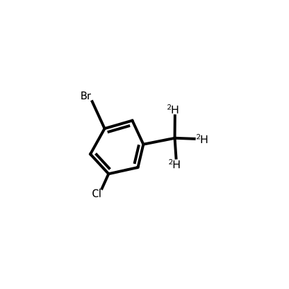 [2H]C([2H])([2H])c1cc(Cl)cc(Br)c1